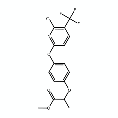 COC(=O)C(C)Oc1ccc(Oc2ccc(C(F)(F)F)c(Cl)n2)cc1